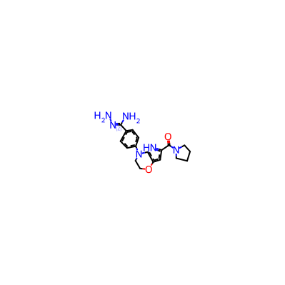 N/N=C(\N)c1ccc(N2CCOc3cc(C(=O)N4CCCC4)[nH]c32)cc1